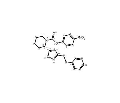 O=C(Oc1ccc([N+](=O)[O-])cc1)N1CCCC[C@H]1c1nc(CCc2ccccc2)no1